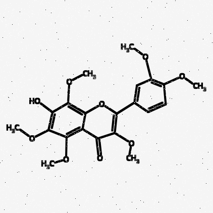 COc1ccc(-c2oc3c(OC)c(O)c(OC)c(OC)c3c(=O)c2OC)cc1OC